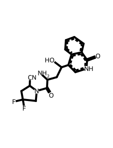 N#CC1CC(F)(F)CN1C(=O)C(N)CC(O)c1c[nH]c(=O)c2ccccc12